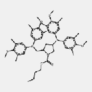 CCCCOC(=O)N1CC(P(c2cc(C)c(OC)c(C)c2)c2cc(C)c(OC)c(C)c2)CC1CP(c1cc(C)c(OC)c(C)c1)c1cc(C)c(OC)c(C)c1